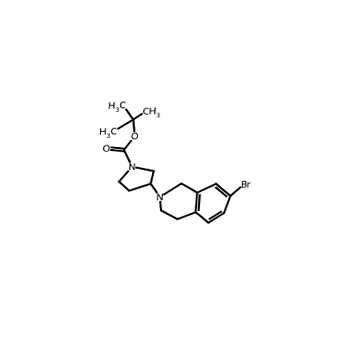 CC(C)(C)OC(=O)N1CCC(N2CCc3ccc(Br)cc3C2)C1